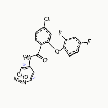 CN/C=C\C(=C/C=O)NC(=O)c1ccc(Cl)cc1Oc1ccc(F)cc1F